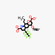 CCCc1c2nc(C(=O)[O-])cc(C(F)(F)C(F)(F)C(F)(F)F)c2cc2c(=O)cc(C(=O)[O-])oc12.[Na+].[Na+]